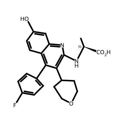 C[C@H](Nc1nc2cc(O)ccc2c(-c2ccc(F)cc2)c1C1CCOCC1)C(=O)O